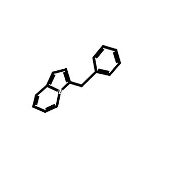 c1ccc(Cc2ccc3ccccn23)cc1